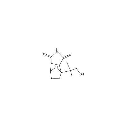 CC(C)(CO)C12CCC(O1)C1C(=O)NC(=O)C12